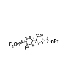 CCC/C=C/C1CCC(c2ccc(C#CC(F)(F)F)c(F)c2)CC1